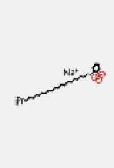 CC(C)CCCCCCCCCCCCCCCCCCCCCc1ccccc1S(=O)(=O)[O-].[Na+]